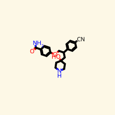 N#Cc1ccc(C(COc2ccc(C(N)=O)cc2)CC2(O)CCNCC2)cc1